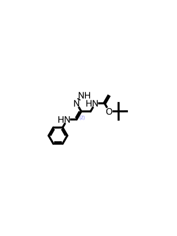 C=C(NC/C(=C/Nc1ccccc1)N=N)OC(C)(C)C